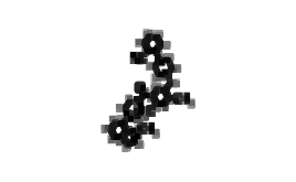 Cc1cc(C)c(C(=O)N2CCN(c3cccc4ccn(C)c34)CC2)cc1CN1CCN(c2ccccc2C#N)CC1